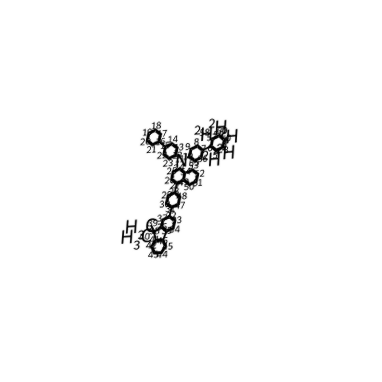 [2H]c1c([2H])c([2H])c(-c2ccc(N(c3ccc(-c4ccccc4)cc3)c3ccc(-c4ccc(-c5ccc6c(c5)C(C)(C)c5ccccc5-6)cc4)c4ccccc34)cc2)c([2H])c1[2H]